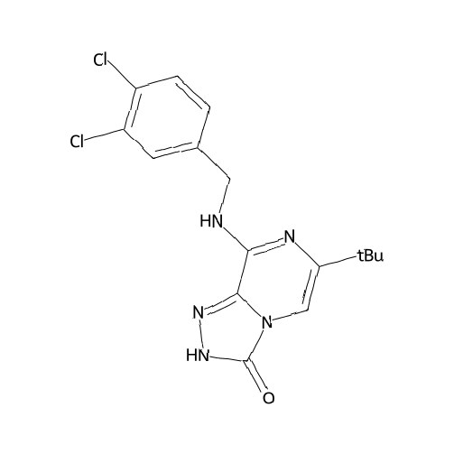 CC(C)(C)c1cn2c(=O)[nH]nc2c(NCc2ccc(Cl)c(Cl)c2)n1